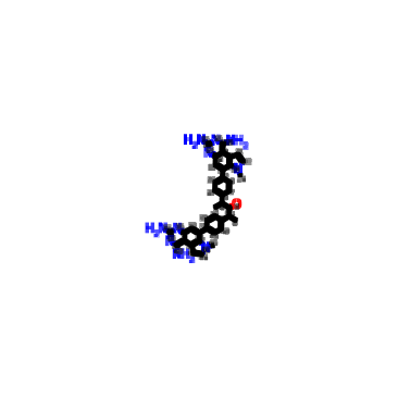 CC(C(=O)C(C)c1ccc(-c2cc3nc(N)nc(N)c3c3ccn(C)c23)cc1)c1ccc(-c2cc3nc(N)nc(N)c3c3ccn(C)c23)cc1